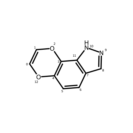 C1=COc2c(ccc3cn[nH]c23)O1